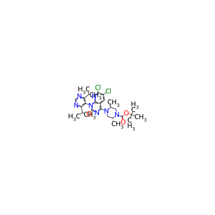 CC(C)c1ncnc(C(C)C)c1-n1c(=O)nc(N2C[C@@H](C)N(C(=O)OC(C)(C)C)C[C@@H]2C)c2cc(Cl)c(Cl)nc21